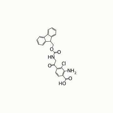 Nc1c(C(=O)O)ccc(C(=O)CNC(=O)OCC2c3ccccc3-c3ccccc32)c1Cl